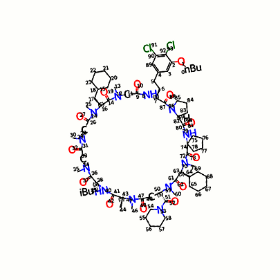 CCCCOc1cc(CC[C@@H]2NC(=O)CN(C)C(=O)[C@H](CC3CCCCC3)N(C)C(=O)CN(C)C(=O)CN(C)C(=O)[C@H]([C@@H](C)CC)NC(=O)[C@H](C)N(C)C(=O)C[C@@H](C(=O)N3CCCCC3)N(C)C(=O)[C@H](C3CCCCC3)N(C)C(=O)C3(CCCC3)NC(=O)[C@@H]3CCCN3C2=O)cc(Cl)c1Cl